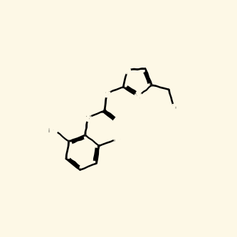 CCCCCCCCCCCc1csc(NC(=O)Nc2c(C(C)C)cccc2C(C)C)n1